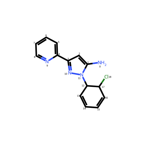 Nc1cc(-c2ccccn2)nn1C1C=CC=CC1Cl